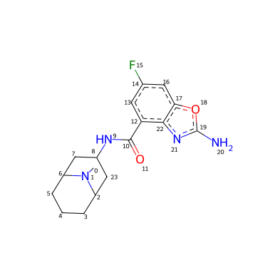 CN1C2CCCC1CC(NC(=O)c1cc(F)cc3oc(N)nc13)C2